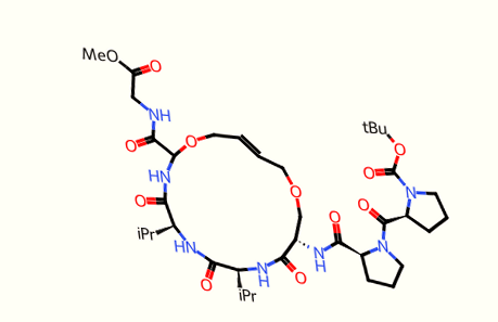 COC(=O)CNC(=O)C1NC(=O)[C@H](C(C)C)NC(=O)[C@H](C(C)C)NC(=O)[C@@H](NC(=O)[C@@H]2CCCN2C(=O)[C@@H]2CCCN2C(=O)OC(C)(C)C)COC/C=C/CO1